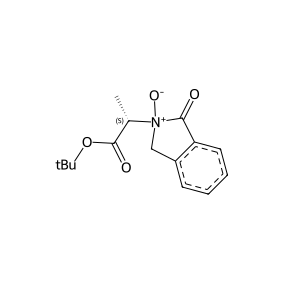 C[C@@H](C(=O)OC(C)(C)C)[N+]1([O-])Cc2ccccc2C1=O